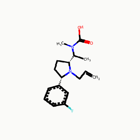 C=CCN1[C@@H](C(C)N(C)C(=O)O)CC[C@H]1c1cccc(F)c1